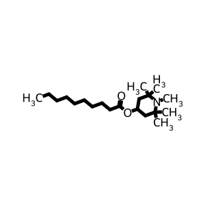 CCCCCCCCCC(=O)OC1CC(C)(C)N(C)C(C)(C)C1